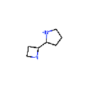 C1CNC(C2CC[N]2)C1